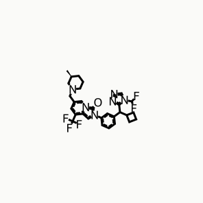 C[C@H]1CCCN(Cc2cc(C(F)(F)F)c3cn(-c4cccc(C(c5nncn5C(F)F)C5CCC5)c4)c(=O)n3c2)C1